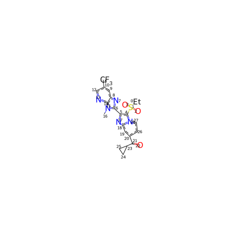 CCS(=O)(=O)c1c(-c2nc3cc(C(F)(F)F)cnc3n2C)nc2cc(C(=O)C3CC3)ccn12